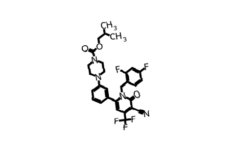 CC(C)COC(=O)N1CCN(c2cccc(-c3cc(C(F)(F)F)c(C#N)c(=O)n3Cc3ccc(F)cc3F)c2)CC1